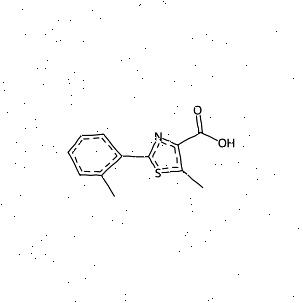 Cc1ccccc1-c1nc(C(=O)O)c(C)s1